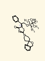 CC(C)(C)[Si](C)(C)OC/C(=C1\SC(N2CCC3(CC2)OCc2ccccc23)=NC1=O)c1ccccc1